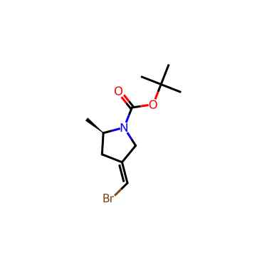 C[C@@H]1CC(=CBr)CN1C(=O)OC(C)(C)C